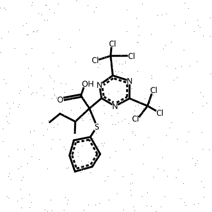 CCC(C)C(Sc1ccccc1)(C(=O)O)c1nc(C(Cl)(Cl)Cl)nc(C(Cl)(Cl)Cl)n1